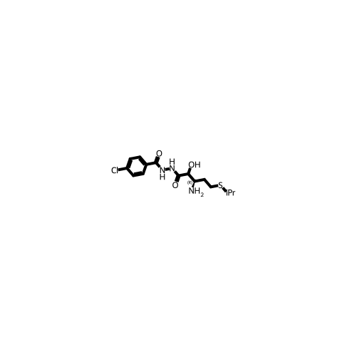 CC(C)SCC[C@@H](N)C(O)C(=O)NNC(=O)c1ccc(Cl)cc1